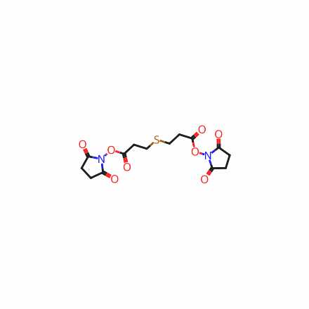 O=C(CCSCCC(=O)ON1C(=O)CCC1=O)ON1C(=O)CCC1=O